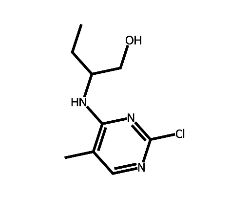 CCC(CO)Nc1nc(Cl)ncc1C